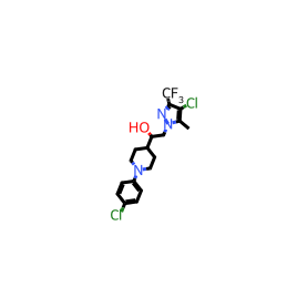 Cc1c(Cl)c(C(F)(F)F)nn1CC(O)C1CCN(c2ccc(Cl)cc2)CC1